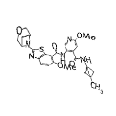 COc1cc(C(=O)NC23CC(C)(C2)C3)c(NC(=O)c2c(OC)ccc3nc(N4C5COCC4C5)sc23)cn1